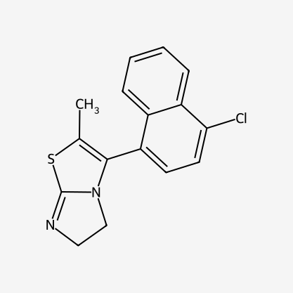 CC1=C(c2ccc(Cl)c3ccccc23)N2CCN=C2S1